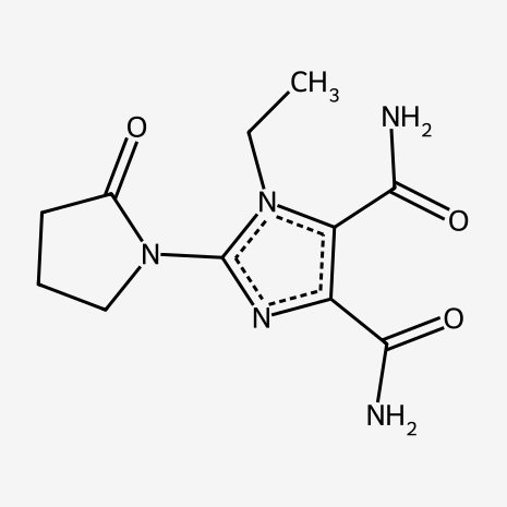 CCn1c(N2CCCC2=O)nc(C(N)=O)c1C(N)=O